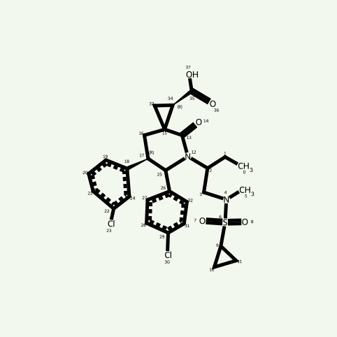 CCC(CN(C)S(=O)(=O)C1CC1)N1C(=O)C2(C[C@H](c3cccc(Cl)c3)C1c1ccc(Cl)cc1)C[C@H]2C(=O)O